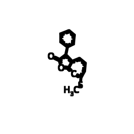 CSc1cccc2c(-c3ccccc3)c(=O)oc-2c1